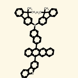 CC1(C)c2ccccc2-c2ccc(N(c3ccc4c(c3)C(C)(C)c3ccccc3-4)c3ccc4cc(-c5c6ccccc6c(-c6ccc7sc8ccccc8c7c6)c6cc7ccccc7cc56)ccc4c3)cc21